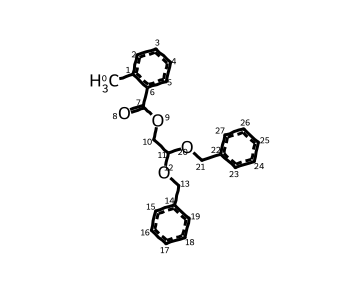 Cc1ccccc1C(=O)OCC(OCc1ccccc1)OCc1ccccc1